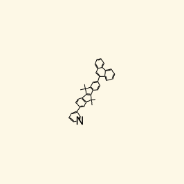 CC1(C)C2=C(c3ccc(-c4cccnc4)cc31)C(C)(C)c1cc(-c3cc4ccccc4c4ccccc34)ccc12